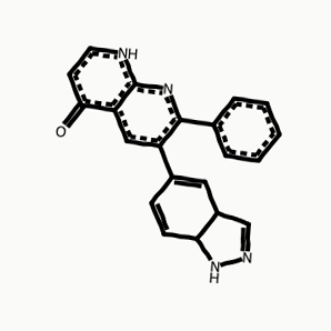 O=c1cc[nH]c2nc(-c3ccccc3)c(C3=CC4C=NNC4C=C3)cc12